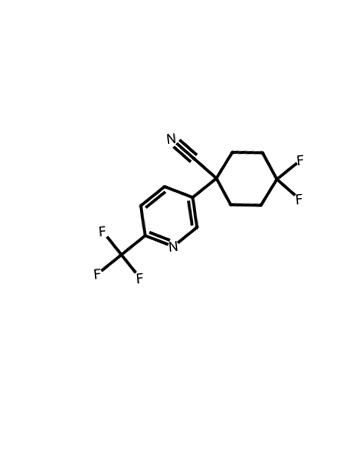 N#CC1(c2ccc(C(F)(F)F)nc2)CCC(F)(F)CC1